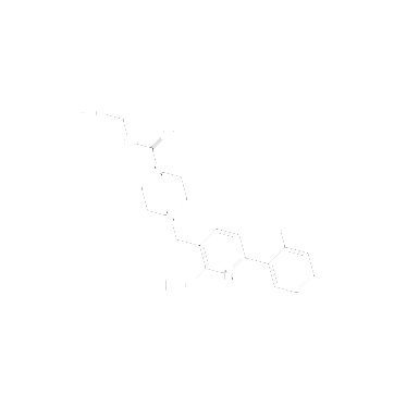 Cc1ccccc1-c1ccc(CN2CCN(C(=O)OC(C(F)(F)F)C(F)(F)F)CC2)c(C)n1